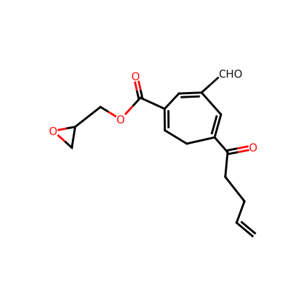 C=CCCC(=O)C1=CC(C=O)=CC(C(=O)OCC2CO2)=CC1